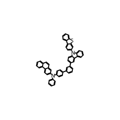 c1ccc(N(c2ccc(-c3cccc(-c4ccc5c(c4)c4ccccc4n5-c4ccc5c(c4)sc4ccccc45)c3)cc2)c2ccc3c(ccc4ccccc43)c2)cc1